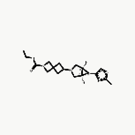 CCOC(=O)N1CC2(CC(N3C[C@@H]4[C@H](C3)[C@@H]4c3csc(C)n3)C2)C1